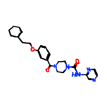 O=C(Nc1cnccn1)N1CCN(C(=O)c2cccc(OCCC3CCCCC3)c2)CC1